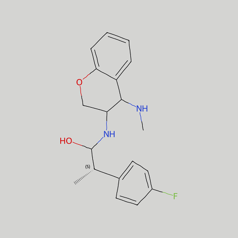 CNC1c2ccccc2OCC1NC(O)[C@@H](C)c1ccc(F)cc1